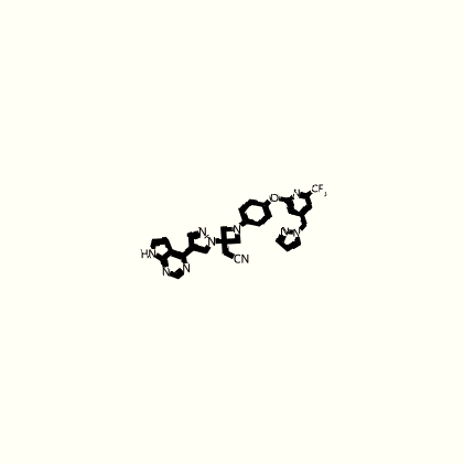 N#CCC1(n2cc(-c3ncnc4[nH]ccc34)cn2)CN(C2CCC(Oc3cc(Cn4cccn4)cc(C(F)(F)F)n3)CC2)C1